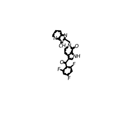 Cn1c(Cn2ccc3c(C(=O)c4c(F)cc(F)cc4F)c[nH]c3c2=O)nc2cccnc21